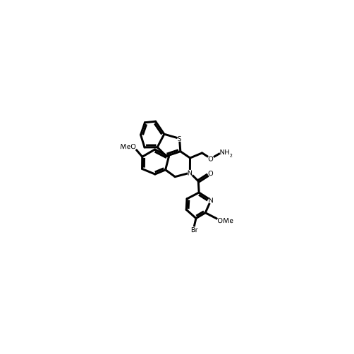 COc1ccc(CN(C(=O)c2ccc(Br)c(OC)n2)C(CON)c2cc3ccccc3s2)cc1